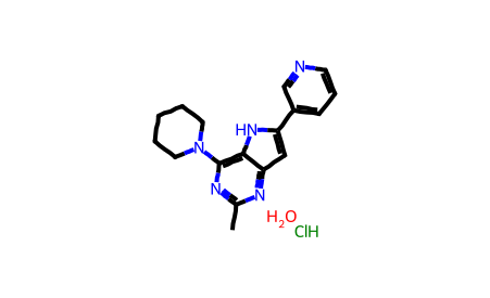 Cc1nc(N2CCCCC2)c2[nH]c(-c3cccnc3)cc2n1.Cl.O